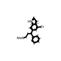 CCc1cc(C(CCNC)c2ccccc2)cc2[nH]ccc12